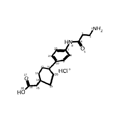 Cl.NCCC(=O)Nc1ccc(C2CCC(CC(=O)O)CC2)cc1